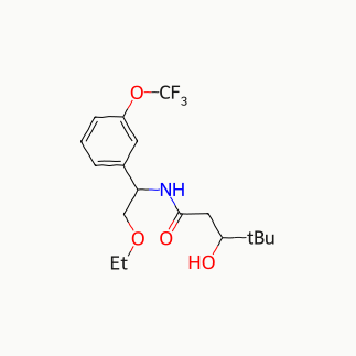 CCOCC(NC(=O)CC(O)C(C)(C)C)c1cccc(OC(F)(F)F)c1